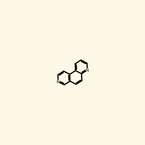 [c]1cc2c(ccc3ncccc32)cn1